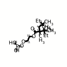 CCC(C)(C)CC(C)(C(=O)OCCOO[PH](=O)O)C(C)(C)CC